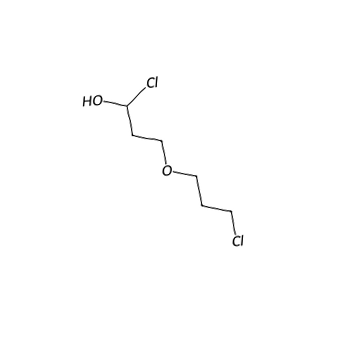 OC(Cl)CCOCCCCl